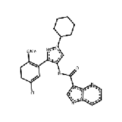 COC1=C(c2nn(C3CCCCC3)cc2NC(=O)c2cnn3cccnc23)C=C(Cl)CC1